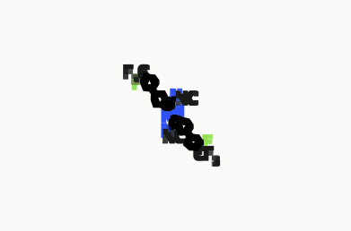 [C-]#[N+]/N=c1/c2cc(-c3ccc(C(F)(F)F)c(F)c3)ccc2c2nc3/c(=N/[N+]#[C-])c4cc(-c5ccc(C(F)(F)F)c(F)c5)ccc4c3nc12